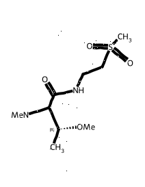 CNC(C(=O)NCCS(C)(=O)=O)[C@@H](C)OC